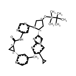 Cc1ccnc([C@@H]2C[C@H]2C(=O)Nc2cc(N3C[C@@H](O[Si](C)(C)C(C)(C)C)C[C@@H]3c3cn4cc(C5CC5)cnc4n3)ncn2)c1